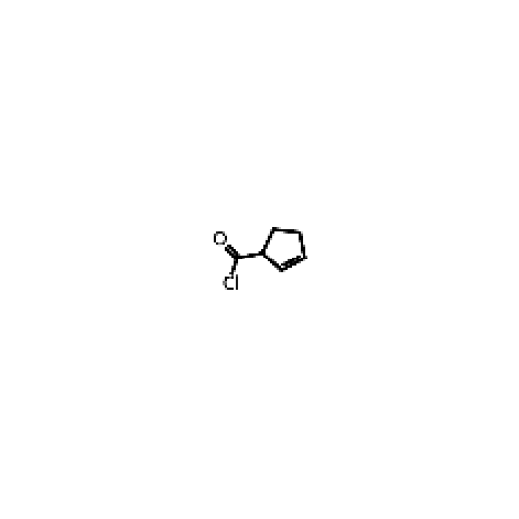 O=C(Cl)C1C=CCC1